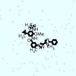 COc1c(NC(=O)c2ccc(C)c(-n3cc(-c4cnc(-c5ccccc5)n4C)nn3)c2)cc(C2(C)CC2)cc1NS(C)(=O)=O